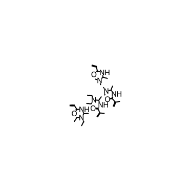 C=C(C)C(=O)NC(C)N(C)C.C=C(C)C(=O)NC(C)N(CC)CC.C=CC(=O)NC(C)N(C)C.C=CC(=O)NC(C)N(CC)CC